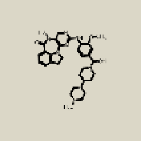 COc1cc(C(O)N2CCC(N3CCN(C)CC3)CC2)ccc1Nc1ncc2c(n1)N1CCc3cccc(c31)C(=O)N2C